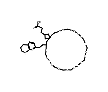 O=C(O)CCC1CC2(CCCCCCCCCCCCCCCCCCCCCCCCCCCCC(CCc3ccc4c(n3)NCCC4)C2)C1